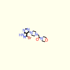 O=C(CN1CCN(c2ncnc3[nH]nc(Br)c23)CC1)N1CCOCC1